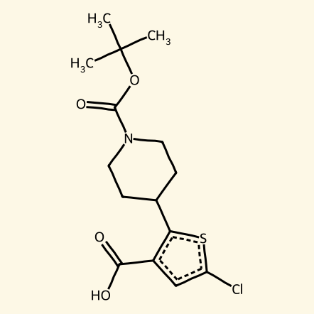 CC(C)(C)OC(=O)N1CCC(c2sc(Cl)cc2C(=O)O)CC1